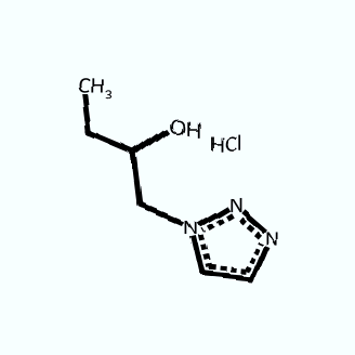 CCC(O)Cn1ccnn1.Cl